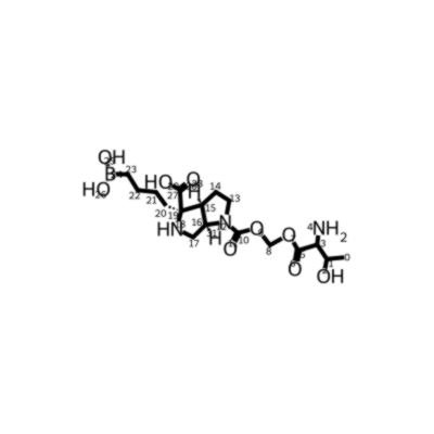 CC(O)C(N)C(=O)OCOC(=O)N1CC[C@H]2[C@@H]1CN[C@@]2(CCCCB(O)O)C(=O)O